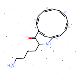 NCCCCC1N/C2=C/C=C\C=C/C=C\C=C/C(=C2)C1=O